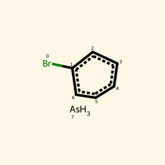 Brc1ccccc1.[AsH3]